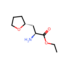 CCOC(=O)[C@@H](N)C[C@H]1CCCO1